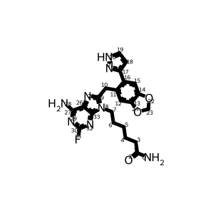 NC(=O)CCCCCn1c(Cc2cc3c(cc2-c2cc[nH]n2)OCO3)nc2c(N)nc(F)nc21